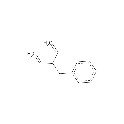 C=CC(C=C)Cc1ccccc1